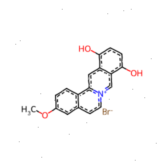 COc1ccc2c(cc[n+]3cc4c(O)ccc(O)c4cc23)c1.[Br-]